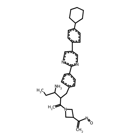 C=C(N=O)C1CN(C(=C)C(Cc2ccc(-c3ncc(-c4ccc(C5CCCCC5)cc4)cn3)cc2)C(N)CC)C1